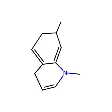 CC1C=C2C(=CC1)CC=CN2C